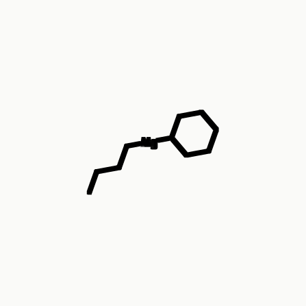 CCC[CH2][Mg][CH]1CCCCC1